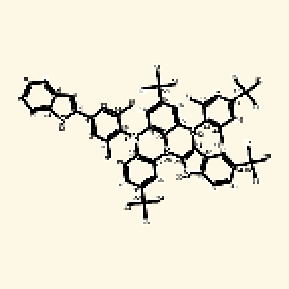 Cc1cc(-c2cc3ccccc3s2)cc(C)c1N1c2ccc(C(C)(C)C)cc2B2c3sc4ccc(C(C)(C)C)cc4c3N(c3c(C)cc(C(C)(C)C)cc3C)c3cc(C(C)(C)C)cc1c32